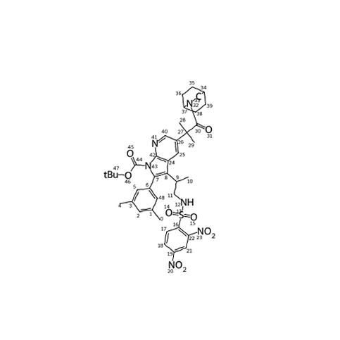 Cc1cc(C)cc(-c2c(C(C)CNS(=O)(=O)c3ccc([N+](=O)[O-])cc3[N+](=O)[O-])c3cc(C(C)(C)C(=O)N4CC5CCC4CC5)cnc3n2C(=O)OC(C)(C)C)c1